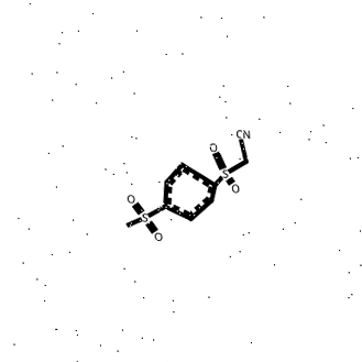 CS(=O)(=O)c1ccc(S(=O)(=O)CC#N)cc1